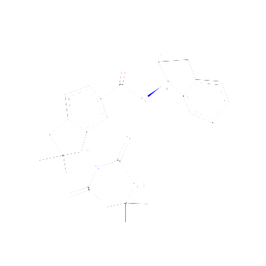 CC1(C)CC(=O)N([C@H]2c3cc(C(=O)N[C@@H]4c5ccccc5C[C@H]4O)ccc3CC2(C)C)C(=N)N1